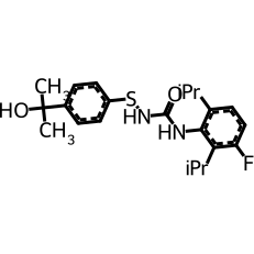 CC(C)c1ccc(F)c(C(C)C)c1NC(=O)NSc1ccc(C(C)(C)O)cc1